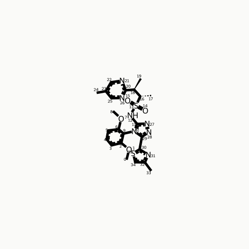 COc1cccc(OC)c1-n1c(NS(=O)(=O)[C@@H](C)[C@H](C)c2ncc(C)cn2)nnc1-c1nc(C)cs1